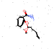 C=CCCCC(OC)Oc1ccccc1C(N)=O